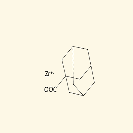 O=C([O-])C12CC3CC(CC(C3)C1)C2.[Zr+]